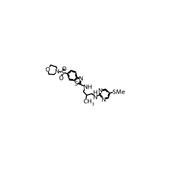 CSc1cnc(NCC(C)CNc2nc3ccc(S(=O)(=O)N4CCOCC4)cc3s2)nc1